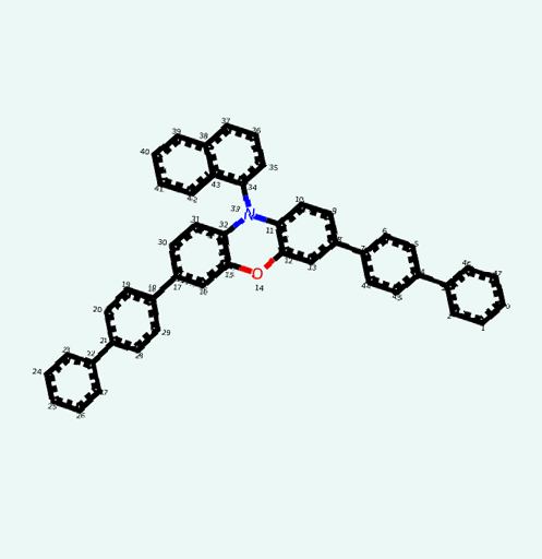 c1ccc(-c2ccc(-c3ccc4c(c3)Oc3cc(-c5ccc(-c6ccccc6)cc5)ccc3N4c3cccc4ccccc34)cc2)cc1